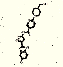 O=C(Nc1cc(-c2nc3cc(C(F)(F)F)ccc3[nH]2)[nH]n1)c1ccc(N2CCC(CO)CC2)nc1